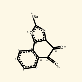 CC(C)(C)c1nc2c(o1)-c1ccccc1C(=O)C2=O